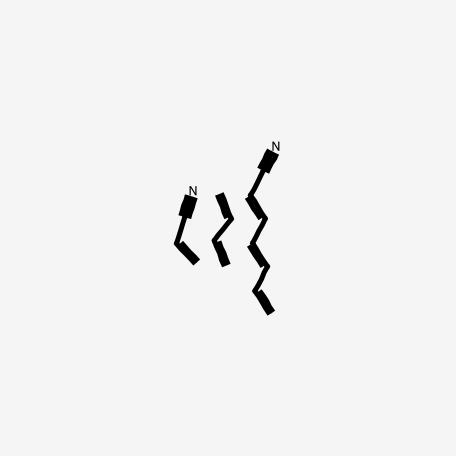 C=CC#N.C=CC=C.C=CC=CC=CC#N